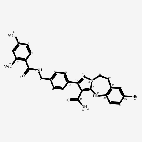 COc1ccc(C(=O)NCc2ccc(-c3nn4c(c3C(N)=O)Nc3ccc(C(C)(C)C)cc3CC4)cc2)c(OC)c1